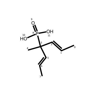 CC=CC(C)(C=CC)P(=O)(O)O